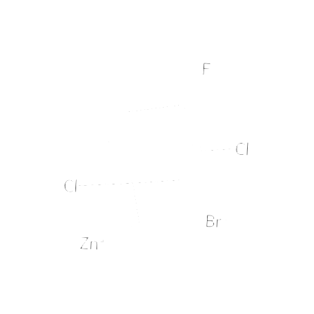 FC1=C(Cl)CC(Cl)([CH2][Zn+])C=C1.[Br-]